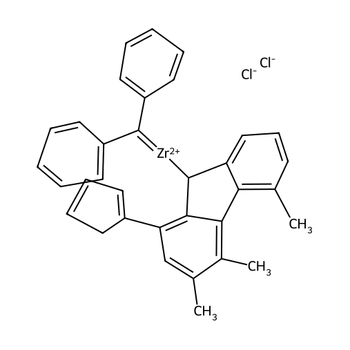 Cc1cc(C2=CC=CC2)c2c(c1C)-c1c(C)cccc1[CH]2[Zr+2]=[C](c1ccccc1)c1ccccc1.[Cl-].[Cl-]